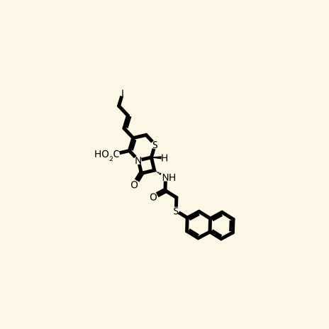 O=C(CSc1ccc2ccccc2c1)N[C@@H]1C(=O)N2C(C(=O)O)=C(C=CCI)CS[C@H]12